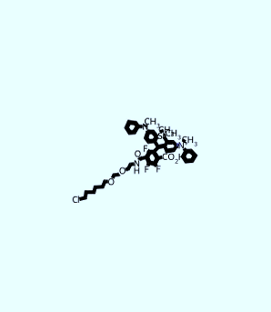 CN(c1ccccc1)c1ccc2c(c1)[Si](C)(C)C1=C/C(=[N+](\C)c3ccccc3)C=CC1=C2c1c(F)c(C(=O)NCCOCCOCCCCCCCl)c(F)c(F)c1C(=O)O